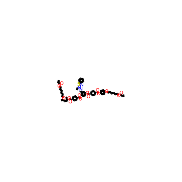 C=CC(=O)OCCCCCCOC(=C)/C=C\C(C)OC(=O)[C@H]1CC[C@H](C(=O)Oc2ccc(OC(=O)[C@H]3CC[C@H](C(=O)Oc4ccc(OCCCCCCOC(=O)C=C)cc4)CC3)cc2/C=N/N(CC)c2nc3ccccc3s2)CC1